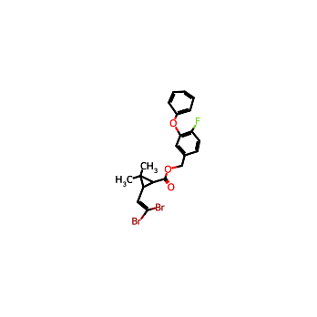 CC1(C)C(C=C(Br)Br)C1C(=O)OCc1ccc(F)c(Oc2ccccc2)c1